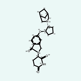 O=C1CCC(N2Cc3cc(O[C@@H]4CCC[C@H]4N4CC5CCC(C5)C4)ccc3C2=O)C(=O)N1